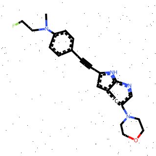 CN(CCF)c1ccc(C#Cc2cc3cc(N4CCOCC4)cnc3[nH]2)cc1